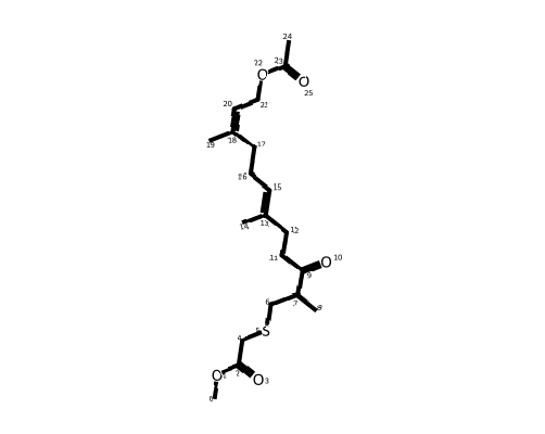 COC(=O)CSCC(C)C(=O)CC/C(C)=C/CC/C(C)=C\COC(C)=O